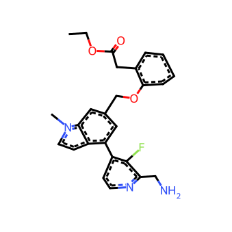 CCOC(=O)Cc1ccccc1OCc1cc(-c2ccnc(CN)c2F)c2ccn(C)c2c1